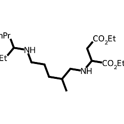 CCCC(CC)NCCCC(C)CNC(CC(=O)OCC)C(=O)OCC